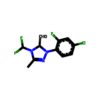 CC1=NN(c2ccc(Cl)cc2F)C(C=O)N1C(F)F